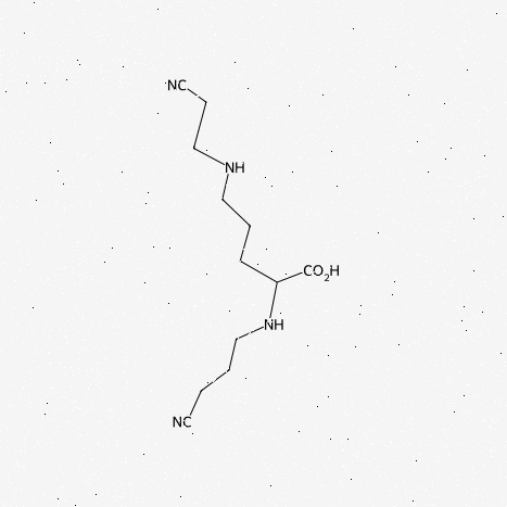 N#CCCCNC(CCCNCCC#N)C(=O)O